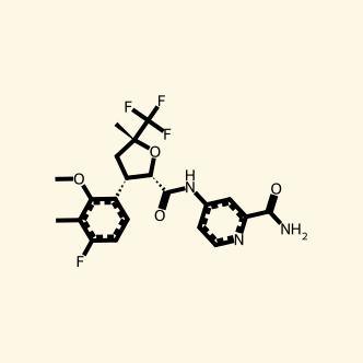 COc1c([C@@H]2C[C@](C)(C(F)(F)F)O[C@@H]2C(=O)Nc2ccnc(C(N)=O)c2)ccc(F)c1C